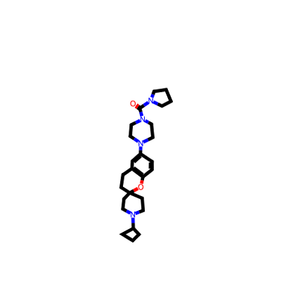 O=C(N1CCCC1)N1CCN(c2ccc3c(c2)CCC2(CCN(C4CCC4)CC2)O3)CC1